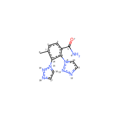 Cc1ccc(C(N)=O)c(-n2ccnn2)c1-n1ccnn1